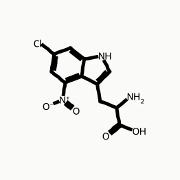 NC(Cc1c[nH]c2cc(Cl)cc([N+](=O)[O-])c12)C(=O)O